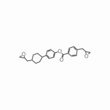 O=C(Oc1ccc(C2CCC(CC3CO3)CC2)cc1)c1ccc(CC2CO2)cc1